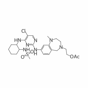 CC(=O)OCCN1CCN(C)c2cc(Nc3ncc(Cl)c(NC4CCCCC4NS(C)(=O)=O)n3)ccc2C1